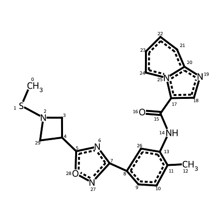 CSN1CC(c2nc(-c3ccc(C)c(NC(=O)c4cnc5ccccn45)c3)no2)C1